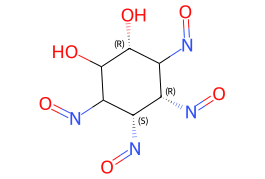 O=NC1C(O)[C@H](O)C(N=O)[C@H](N=O)[C@@H]1N=O